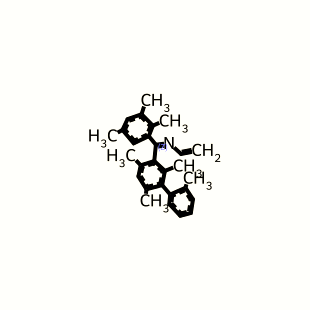 C=C/N=C(/c1cc(C)cc(C)c1C)c1c(C)cc(C)c(-c2ccccc2C)c1C